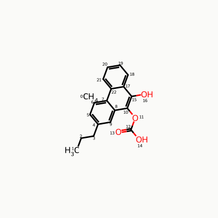 C.CCCc1ccc2c(c1)c(OC(=O)O)c(O)c1ccccc12